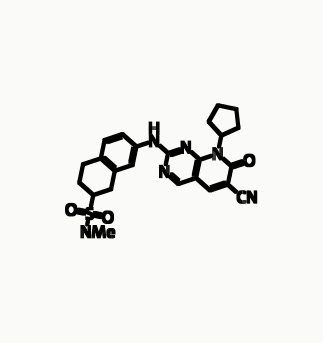 CNS(=O)(=O)C1CCc2ccc(Nc3ncc4cc(C#N)c(=O)n(C5CCCC5)c4n3)cc2C1